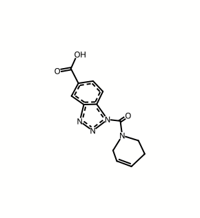 O=C(O)c1ccc2c(c1)nnn2C(=O)N1CC=CCC1